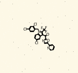 O=C(c1ncc(-c2ccccn2)o1)c1c(C(F)(F)F)n(Cc2ccc(Cl)cc2Cl)c2ccc(Cl)cc12